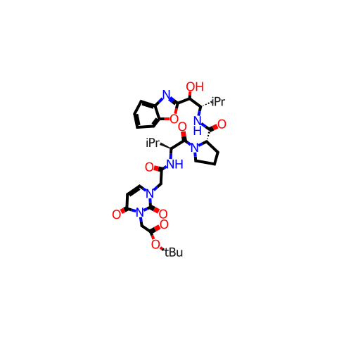 CC(C)[C@H](NC(=O)[C@@H]1CCCN1C(=O)[C@@H](NC(=O)Cn1ccc(=O)n(CC(=O)OC(C)(C)C)c1=O)C(C)C)C(O)c1nc2ccccc2o1